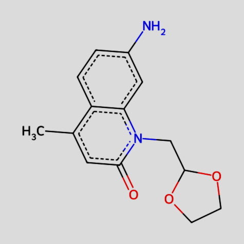 Cc1cc(=O)n(CC2OCCO2)c2cc(N)ccc12